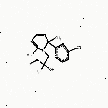 CC1=CC=CC(C)(c2cccc(C#N)c2)N1CC(C)(O)C[O]